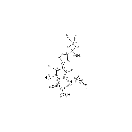 Cc1c(N2CCC(C3(N)CC(F)(F)C3)C2)c(F)c(N)c2c(=O)c(C(=O)O)cn([C@@H]3C[C@H]3F)c12